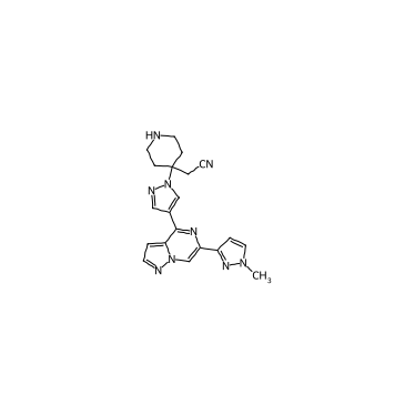 Cn1ccc(-c2cn3nccc3c(-c3cnn(C4(CC#N)CCNCC4)c3)n2)n1